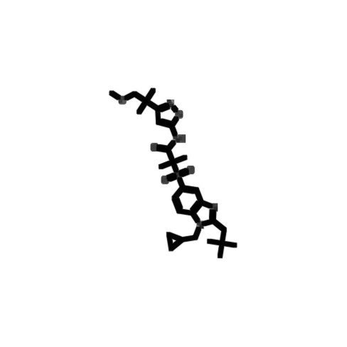 COCC(C)(C)c1cc(NC(=O)C(C)(C)S(=O)(=O)c2ccc3c(c2)nc(CC(C)(C)C)n3CC2CC2)on1